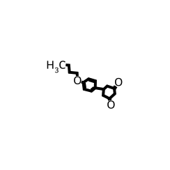 CCCCOc1ccc(C2CC(=O)CC(=O)C2)cc1